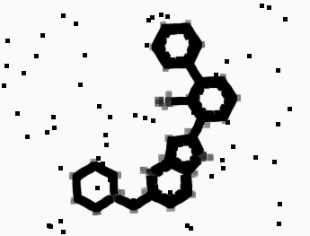 Cc1c(-c2ccccc2)cccc1-c1cc2nc(CN3CCCCC3)ccc2o1